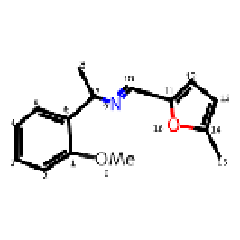 COc1ccccc1C(C)N=Cc1ccc(C)o1